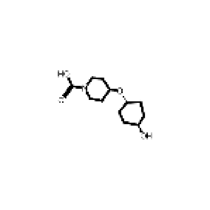 O=C(O)N1CCC(O[C@H]2CC[C@H](O)CC2)CC1